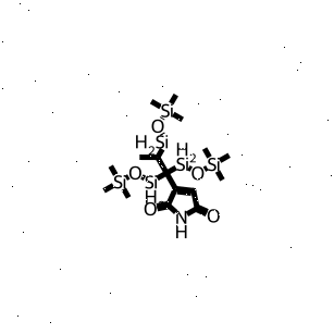 CC([SiH2]O[Si](C)(C)C)C([SiH2]O[Si](C)(C)C)([SiH2]O[Si](C)(C)C)C1=CC(=O)NC1=O